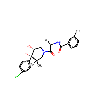 CC(C)[C@@H](NC(=O)c1cccc(C(=O)O)c1)C(=O)N1C[C@@H](O)[C@](O)(c2ccc(Cl)cc2)C(C)(C)C1